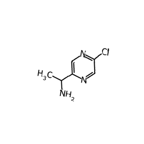 CC(N)c1cnc(Cl)cn1